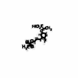 C[C@H](Oc1ccc(F)c(CCCOS(C)(=O)=O)c1)C(=O)O